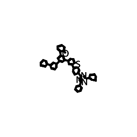 c1ccc(-c2cccc(-c3cc(-c4ccc5sc6cc(-c7nc(-c8ccccc8)nc(-c8ccccc8)n7)ccc6c5c4)c4oc5ccccc5c4c3)c2)cc1